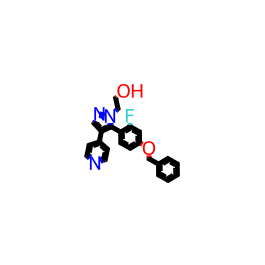 OCCn1ncc(-c2ccncc2)c1-c1ccc(OCc2ccccc2)cc1F